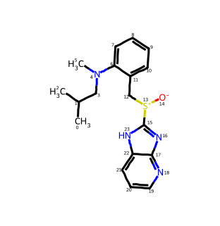 CC(C)CN(C)c1ccccc1C[S+]([O-])c1nc2ncccc2[nH]1